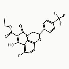 CCOC(=O)c1c(O)c2c(F)ccc3c2n(c1=O)CC(c1ccc(C(F)(F)F)cc1)O3